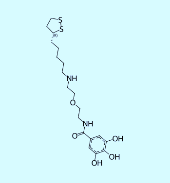 O=C(NCCOCCNCCCCC[C@@H]1CCSS1)c1cc(O)c(O)c(O)c1